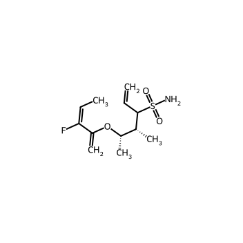 C=CC([C@H](C)[C@H](C)OC(=C)/C(F)=C\C)S(N)(=O)=O